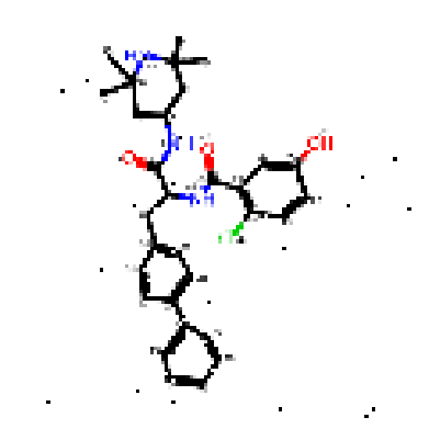 CC1(C)CC(NC(=O)C(Cc2ccc(-c3ccccc3)cc2)NC(=O)c2cc(O)ccc2Cl)CC(C)(C)N1